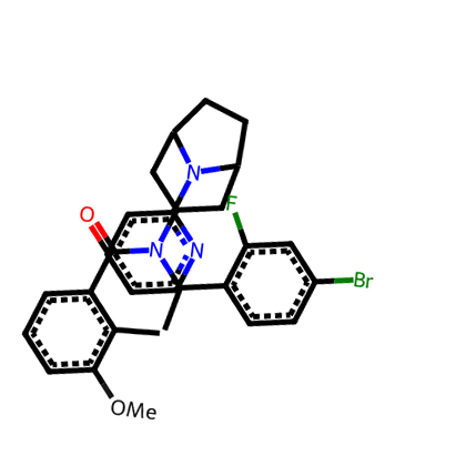 COc1cccc(C(=O)N(C2CC3CCC(C2)N3c2ccccn2)C(C)c2ccc(Br)cc2F)c1C